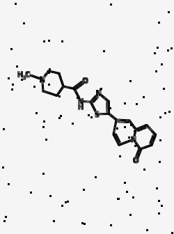 CN1CCC(C(=O)Nc2ncc(-c3ccn4c(=O)cccc4c3)s2)CC1